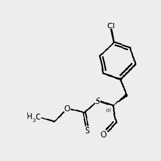 CCOC(=S)S[C@H](C=O)Cc1ccc(Cl)cc1